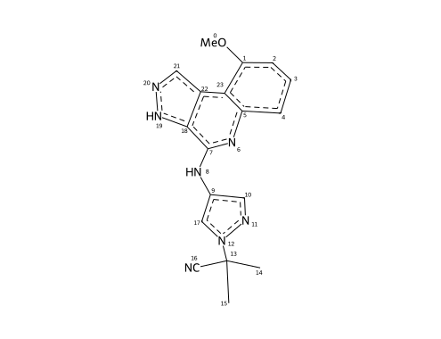 COc1cccc2nc(Nc3cnn(C(C)(C)C#N)c3)c3[nH]ncc3c12